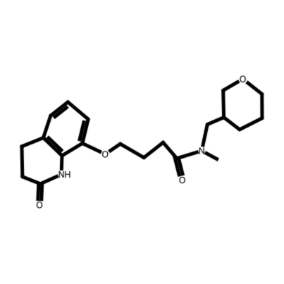 CN(CC1CCCOC1)C(=O)CCCOc1cccc2c1NC(=O)CC2